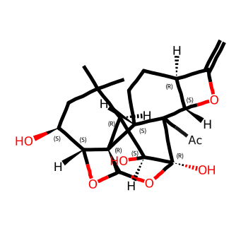 C=C1O[C@H]2[C@H]1CC[C@@H]1C2(C(C)=O)[C@@]2(O)OC3O[C@@H]4[C@@H](O)CC(C)(C)[C@@H]([C@@H]2O)[C@@]341